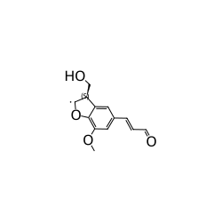 COc1cc(C=CC=O)cc2c1O[CH][C@H]2CO